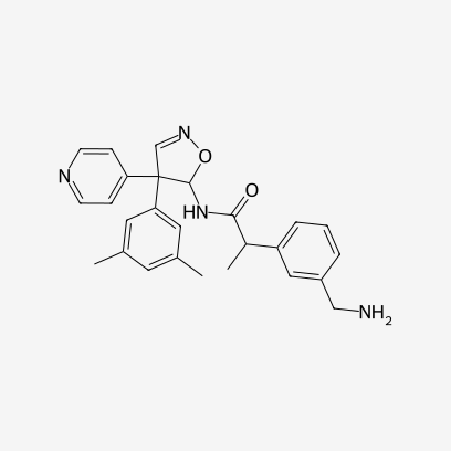 Cc1cc(C)cc(C2(c3ccncc3)C=NOC2NC(=O)C(C)c2cccc(CN)c2)c1